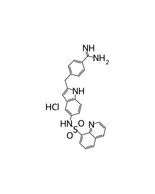 Cl.N=C(N)c1ccc(Cc2cc3cc(NS(=O)(=O)c4cccc5cccnc45)ccc3[nH]2)cc1